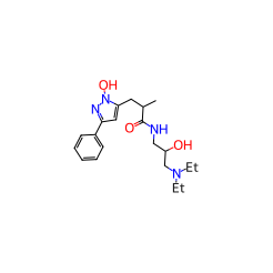 CCN(CC)CC(O)CNC(=O)C(C)Cc1cc(-c2ccccc2)nn1O